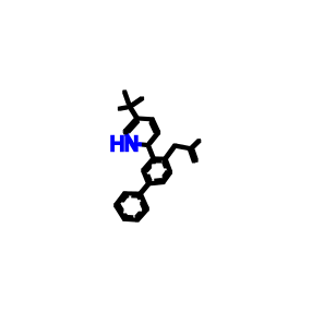 C=C(C)Cc1ccc(-c2ccccc2)cc1C1C=CC(C(C)(C)C)=CN1